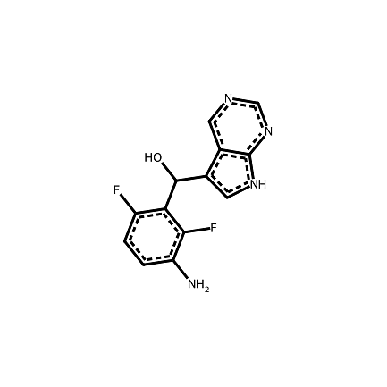 Nc1ccc(F)c(C(O)c2c[nH]c3ncncc23)c1F